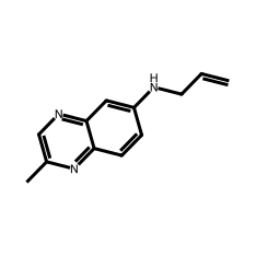 C=CCNc1ccc2nc(C)cnc2c1